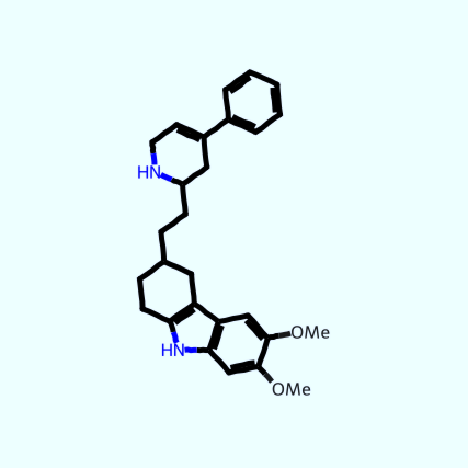 COc1cc2[nH]c3c(c2cc1OC)CC(CCC1CC(c2ccccc2)=CCN1)CC3